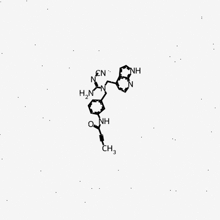 CC#CC(=O)Nc1cccc(CN(Cc2ccnc3[nH]ccc23)/C(N)=N\C#N)c1